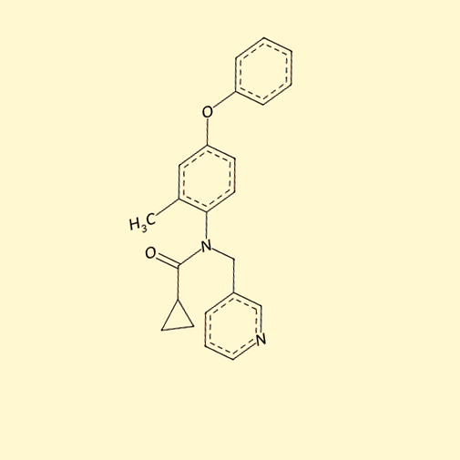 Cc1cc(Oc2ccccc2)ccc1N(Cc1cccnc1)C(=O)C1CC1